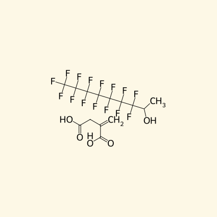 C=C(CC(=O)O)C(=O)O.CC(O)C(F)(F)C(F)(F)C(F)(F)C(F)(F)C(F)(F)C(F)(F)C(F)(F)F